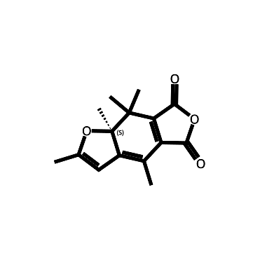 CC1=CC2=C(C)C3=C(C(=O)OC3=O)C(C)(C)[C@]2(C)O1